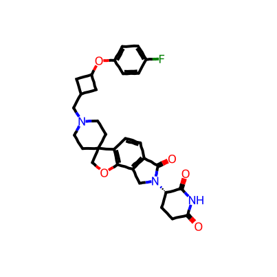 O=C1CC[C@H](N2Cc3c(ccc4c3OCC43CCN(CC4CC(Oc5ccc(F)cc5)C4)CC3)C2=O)C(=O)N1